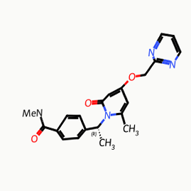 CNC(=O)c1ccc([C@@H](C)n2c(C)cc(OCc3ncccn3)cc2=O)cc1